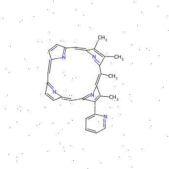 CC1=C(C)C2=NC1=CC1=NC(=CC3=NC(=CC4=NC(=C2C)C(C)=C4c2ccccn2)C=C3)C=C1